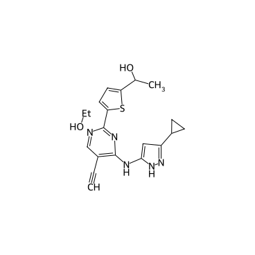 C#Cc1cnc(-c2ccc(C(C)O)s2)nc1Nc1cc(C2CC2)n[nH]1.CCO